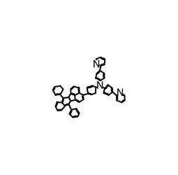 C1=CCCC(C2=c3ccccc3=C(c3ccccc3)C3c4ccc(C5=CCC(N(c6ccc(-c7ccccn7)cc6)c6ccc(-c7ccccn7)cc6)C=C5)c5cccc(c45)C23)=C1